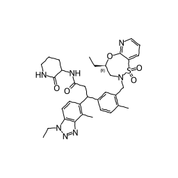 CC[C@@H]1CN(Cc2cc(C(CC(=O)NC3CCCNC3=O)c3ccc4c(nnn4CC)c3C)ccc2C)S(=O)(=O)c2cccnc2O1